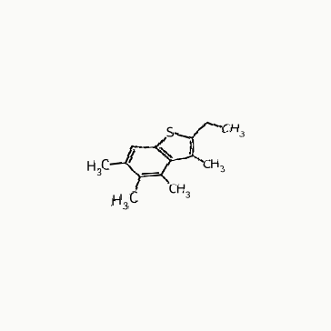 CCc1sc2cc(C)c(C)c(C)c2c1C